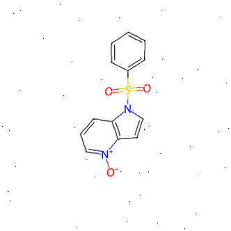 O=S(=O)(c1ccccc1)n1ccc2c1ccc[n+]2[O-]